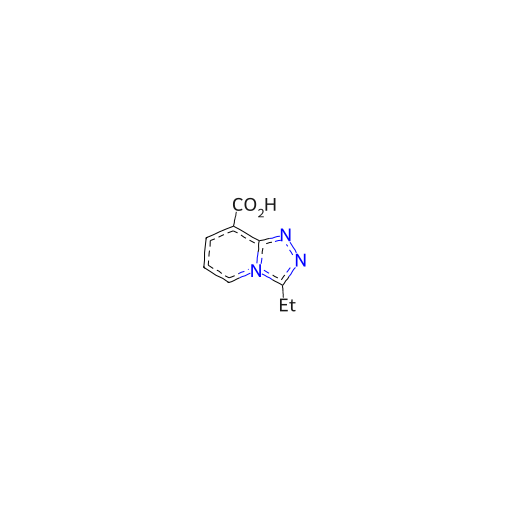 CCc1nnc2c(C(=O)O)cccn12